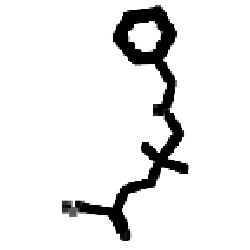 CC(C)(CCC(N)=O)CNCc1ccccc1